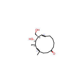 C/C1=C/[C@@H](C)[C@H](O)[C@@H](CO)/C=C/CCCCC(=O)CC1